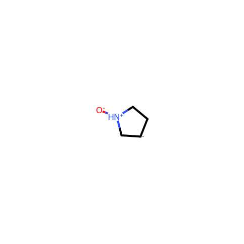 [O-][NH+]1C[CH]CC1